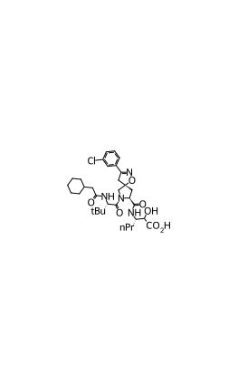 CCC[C@H](NC(=O)[C@@H]1C[C@]2(CC(c3cccc(Cl)c3)=NO2)CN1C(=O)[C@@H](NC(=O)CC1CCCCC1)C(C)(C)C)C(O)C(=O)O